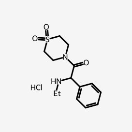 CCNC(C(=O)N1CCS(=O)(=O)CC1)c1ccccc1.Cl